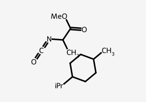 CC1CCC(C(C)C)CC1.COC(=O)C(C)N=C=O